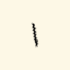 C=CCCCCCCCCCOCCC